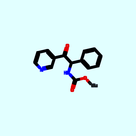 CC(C)(C)OC(=O)NC(C(=O)c1cccnc1)c1ccccc1